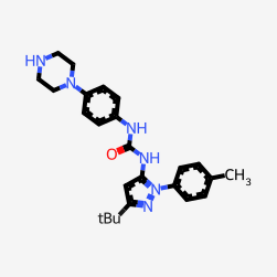 Cc1ccc(-n2nc(C(C)(C)C)cc2NC(=O)Nc2ccc(N3CCNCC3)cc2)cc1